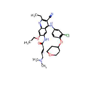 CCOc1cc2nc(CC)c(C#N)c(Nc3ccc(OC4CCOCC4)c(Cl)c3)c2cc1NC(=O)/C=C/CN(C)C